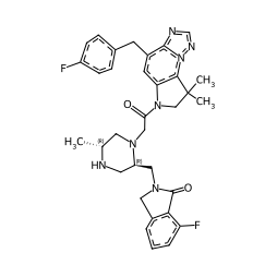 C[C@@H]1CN(CC(=O)N2CC(C)(C)c3c2cc(Cc2ccc(F)cc2)c2ncnn32)[C@@H](CN2Cc3cccc(F)c3C2=O)CN1